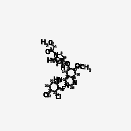 C=CC(=O)N1CC2CC[C@H]1C[C@H]2Oc1cc2c(Nc3ccc(Cl)c(Cl)c3F)ncnc2cc1OC